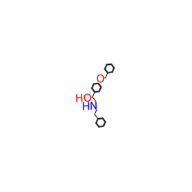 O[C@H](CNCCc1ccccc1)c1ccc(OCc2ccccc2)cc1